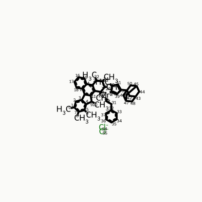 Cc1cc2c(c(C)c1C)C(C)c1c3c(c4ccccc4c1-2)C(C)C(C)C(C)[C]3(C)[Zr+2](=[CH]Cc1ccccc1)[C]1=CC(C23CC4CC(CC(C4)C2)C3)=CC1C.[Cl-].[Cl-]